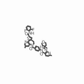 Cc1cnc2c(c1)N(C(=O)c1ccc(NC(=O)c3ccc(C)nc3N3CC4(CCOCC4)C3)cc1)CCc1cc(C(=O)Nc3c(F)cccc3F)sc1-2